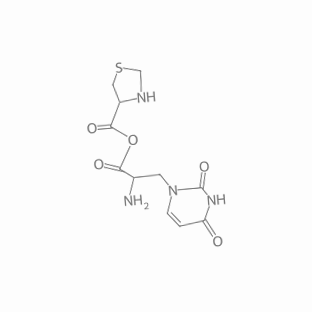 NC(Cn1ccc(=O)[nH]c1=O)C(=O)OC(=O)C1CSCN1